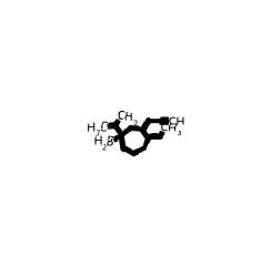 BC1(C(C)C)CCCC(=C/C)/C(=C\C#C)C1